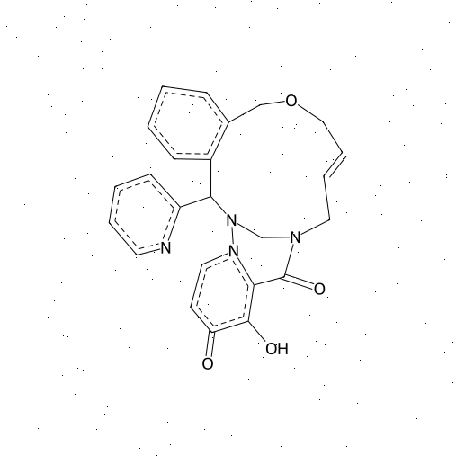 O=C1c2c(O)c(=O)ccn2N2CN1C/C=C/COCc1ccccc1C2c1ccccn1